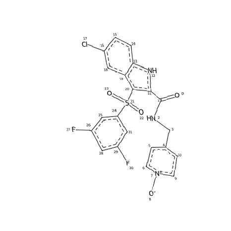 O=C(NCc1cc[n+]([O-])cc1)c1[nH]c2ccc(Cl)cc2c1S(=O)(=O)c1cc(F)cc(F)c1